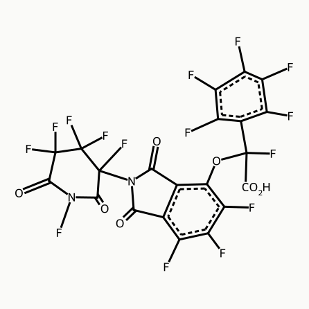 O=C1c2c(F)c(F)c(F)c(OC(F)(C(=O)O)c3c(F)c(F)c(F)c(F)c3F)c2C(=O)N1C1(F)C(=O)N(F)C(=O)C(F)(F)C1(F)F